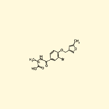 Cc1cc(COc2ccc(C(=O)N[C@H](C)C(=O)O)cc2Br)no1